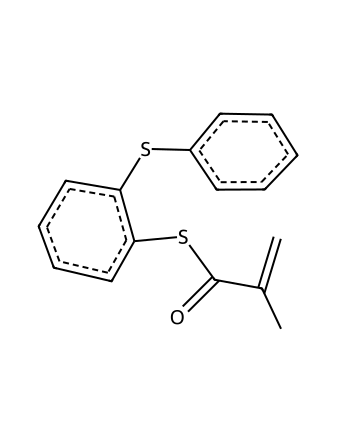 C=C(C)C(=O)Sc1ccccc1Sc1ccccc1